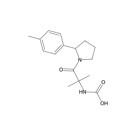 Cc1ccc(C2CCCN2C(=O)C(C)(C)NC(=O)O)cc1